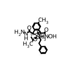 CCC[C@](C(=O)NN)(c1ccc(C)cc1[C@H](CCCc1ccccc1)C(=O)NO)S(C)(=O)=O